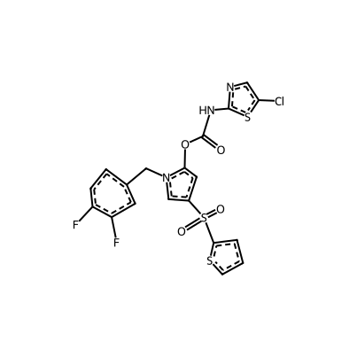 O=C(Nc1ncc(Cl)s1)Oc1cc(S(=O)(=O)c2cccs2)cn1Cc1ccc(F)c(F)c1